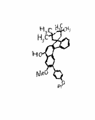 COc1cc2c(O)cc3c(c2cc1-c1ccc(OC(C)C)cc1)-c1ccccc1C31CC(C)(C)CC(C)(C)C1